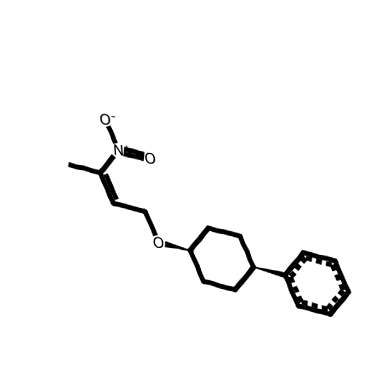 CC(=CCO[C@H]1CC[C@@H](c2ccccc2)CC1)[N+](=O)[O-]